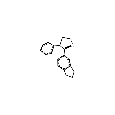 c1ccc(C2CNN=C2c2ccc3c(c2)CCC3)cc1